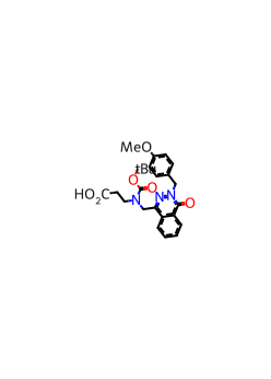 COc1ccc(Cn2nc(CN(CCC(=O)O)C(=O)OC(C)(C)C)c3ccccc3c2=O)cc1